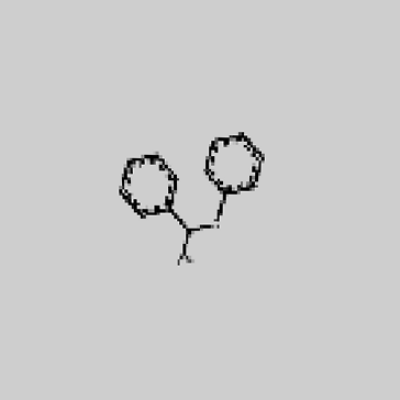 CCCC(Oc1[c]cccc1)c1ccccc1